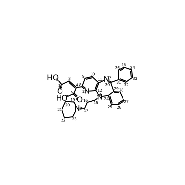 O=C(O)C=C(C(=O)O)c1ccc2c(n1)N(CCCN1CCCCC1)c1ccccc1C(c1ccccc1)=N2